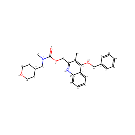 Cc1c(COC(=O)N(C)CC2CCOCC2)nc2ccccc2c1OCc1ccccc1